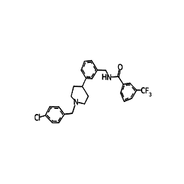 O=C(NCc1cccc(C2CCN(Cc3ccc(Cl)cc3)CC2)c1)c1cccc(C(F)(F)F)c1